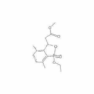 CCOP1(=O)OC(CC(=O)OC)c2c(C)ccc(C)c21